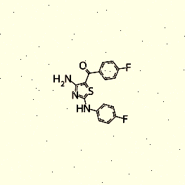 Nc1nc(Nc2ccc(F)cc2)sc1C(=O)c1ccc(F)cc1